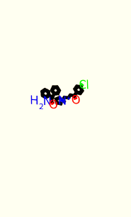 C[N+]1(CCCC(=O)c2ccc(Cl)cc2)CC[C@@H](C(C(N)=O)(c2ccccc2)c2ccccc2)C1